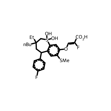 CCCCC1(CC)CC(c2ccc(F)cc2)c2cc(SC)c(OC=C(F)C(=O)O)cc2S(O)(O)C1